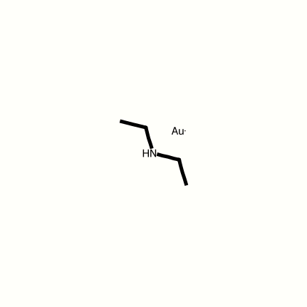 CCNCC.[Au]